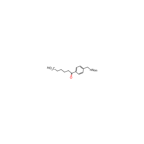 CCCCCCCCCCc1ccc(C(=O)CCCCC(=O)O)cc1